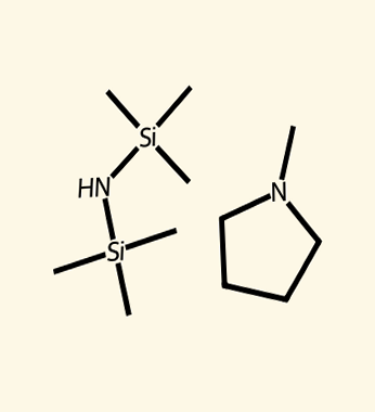 CN1CCCC1.C[Si](C)(C)N[Si](C)(C)C